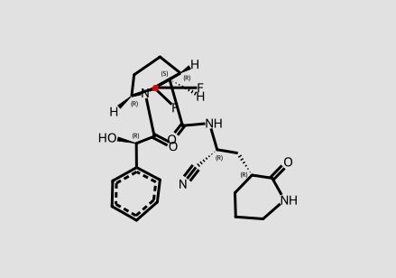 N#C[C@@H](C[C@H]1CCCNC1=O)NC(=O)[C@@H]1[C@H]2CC[C@H](CC2(F)F)N1C(=O)[C@H](O)c1ccccc1